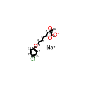 O=C([O-])[C@@]1(CCCCCCOc2ccc(Cl)cc2)CO1.[Na+]